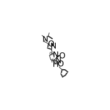 C=C(C)N(C)Cc1cc([C@@H]2CC[C@@H]3CN2C(=O)N3OCc2ccccc2)no1